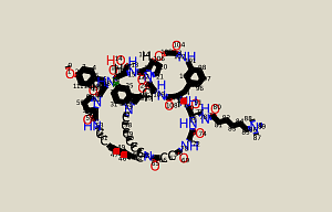 COc1ccc(C[C@@H]2NC(=O)[C@H]([C@@H](C)O)NC(=O)C3[C@@H]4CCN3C(=O)[C@@H]3Cc5cn(c6ccc(F)cc56)CCCCCCN(Cc5ccc(cc5)CCNC(=O)[C@]5(C)CCCN5C2=O)C(=O)CCC(=O)N[C@@H](C)C(=O)N[C@H](CNC(=O)CCCCC[N+](C)(C)C)C(=O)N[C@@H](Cc2cccc(c2)CNC(=O)CO4)C(=O)N3)cc1